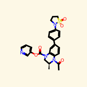 CC(=O)N1c2ccc(-c3ccc(N4CCCS4(=O)=O)cc3)cc2N(C(=O)Oc2cccnc2)C[C@@H]1C